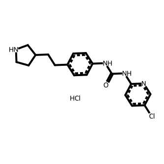 Cl.O=C(Nc1ccc(CCC2CCNC2)cc1)Nc1ccc(Cl)cn1